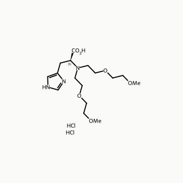 COCCOCCN(CCOCCOC)[C@@H](Cc1c[nH]cn1)C(=O)O.Cl.Cl